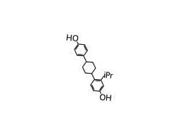 CC(C)c1cc(O)ccc1C1CCC(c2ccc(O)cc2)CC1